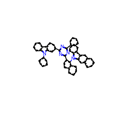 c1ccc(-c2nc(-c3ccc4c5ccccc5n(-c5ccccc5)c4c3)nc(-c3ccc4ccccc4c3-n3c4ccccc4c4cc5ccccc5cc43)n2)cc1